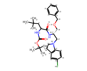 CC(C)(C)CC(NC(=O)OC(C)(C)C)C(=O)N[C@H](COCc1ccccc1)CN1CCc2cc(F)ccc21